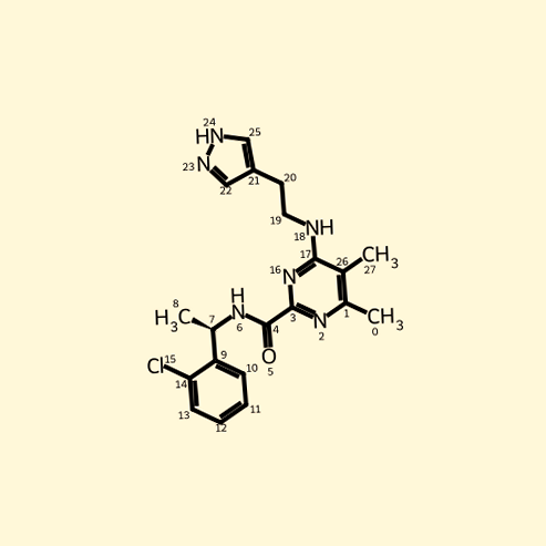 Cc1nc(C(=O)N[C@H](C)c2ccccc2Cl)nc(NCCc2cn[nH]c2)c1C